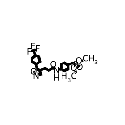 CCOP(=O)(Cc1ccc(NC(=O)CCc2cnoc2-c2ccc(C(F)(F)F)cc2)cc1)OCC